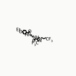 CCOc1ccc(C(=O)NCCNC(=O)c2cn(CCCC(F)(F)F)nc2C(F)(F)F)cc1